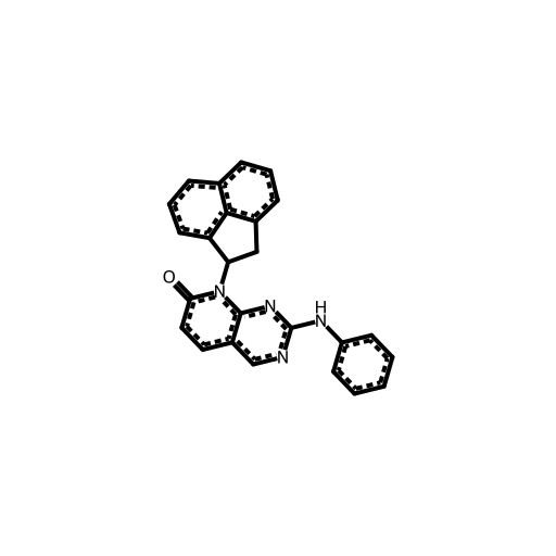 O=c1ccc2cnc(Nc3ccccc3)nc2n1C1Cc2cccc3cccc1c23